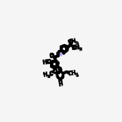 CCC1CNCCN1Cc1cc(C(=O)/C=C/c2ccc(N(C)C)cc2)c(O)cc1OC